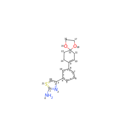 Nc1nc(-c2cccc(C3=CCC4(CC3)OCCO4)c2)cs1